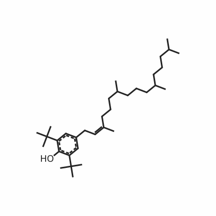 CC(=CCc1cc(C(C)(C)C)c(O)c(C(C)(C)C)c1)CCCC(C)CCCC(C)CCCC(C)C